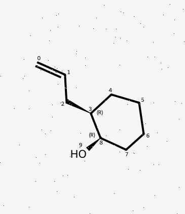 C=CC[C@H]1CCCC[C@H]1O